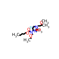 CCCCCOC(=O)N(COCC)C(=N/C)/C(F)=C\N(C=O)CCC(C)OC